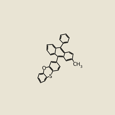 Cc1ccc2c(-c3ccccc3)c3ccccc3c(-c3ccc4c(c3)Oc3ccccc3S4)c2c1